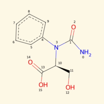 NC(=O)N(c1ccccc1)[C@@H](CO)C(=O)O